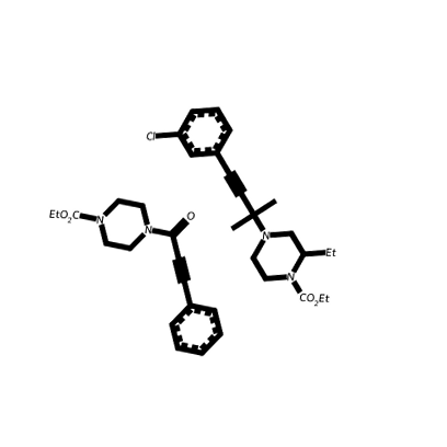 CCOC(=O)N1CCN(C(=O)C#Cc2ccccc2)CC1.CCOC(=O)N1CCN(C(C)(C)C#Cc2cccc(Cl)c2)CC1CC